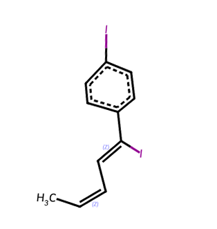 C/C=C\C=C(/I)c1ccc(I)cc1